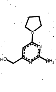 Nc1nc(CO)cc(N2C[CH]CC2)n1